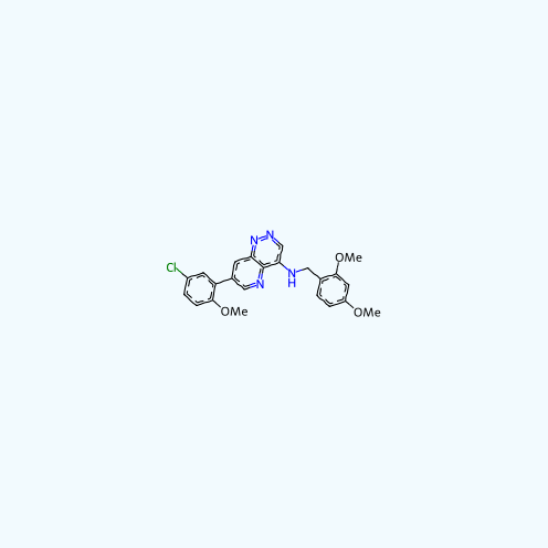 COc1ccc(CNc2cnnc3cc(-c4cc(Cl)ccc4OC)cnc23)c(OC)c1